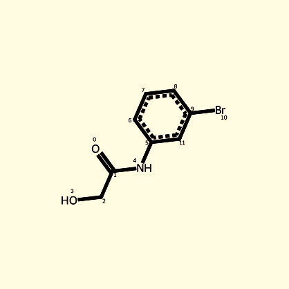 O=C(CO)Nc1cccc(Br)c1